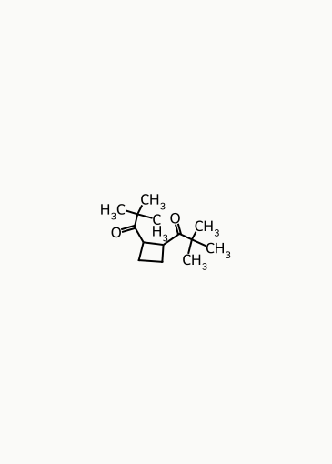 CC(C)(C)C(=O)C1CCC1C(=O)C(C)(C)C